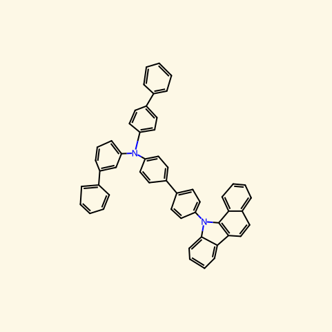 c1ccc(-c2ccc(N(c3ccc(-c4ccc(-n5c6ccccc6c6ccc7ccccc7c65)cc4)cc3)c3cccc(-c4ccccc4)c3)cc2)cc1